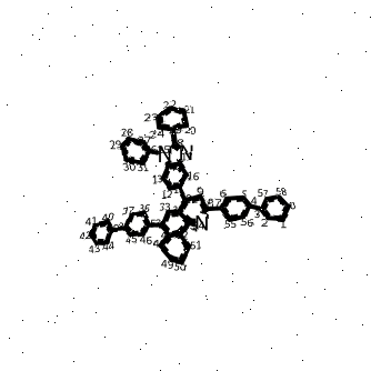 c1ccc(-c2ccc(-c3cc(-c4ccc5c(c4)nc(-c4ccccc4)n5-c4ccccc4)c4cc(-c5ccc(-c6ccccc6)cc5)c5ccccc5c4n3)cc2)cc1